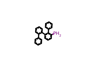 Pc1cccc(-c2ccccc2-c2ccccc2)c1-c1ccccc1